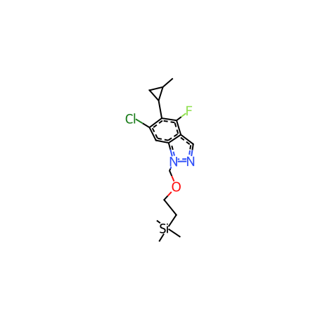 CC1CC1c1c(Cl)cc2c(cnn2COCC[Si](C)(C)C)c1F